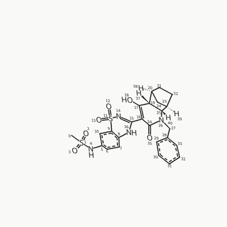 CS(=O)(=O)Nc1ccc2c(c1)S(=O)(=O)N=C(C1=C(O)[C@@H]3[C@H]4CC[C@H](C4)[C@@H]3N(Cc3ccccc3)C1=O)N2